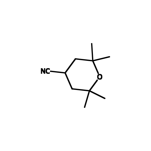 CC1(C)CC(C#N)CC(C)(C)O1